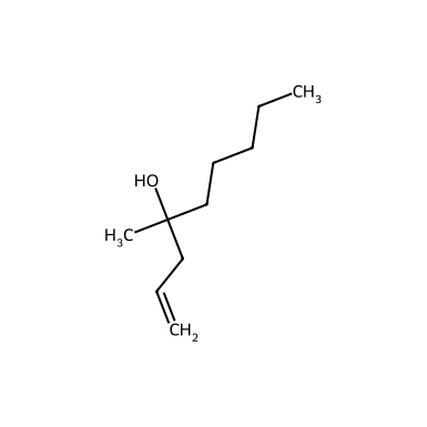 C=CCC(C)(O)CCCCC